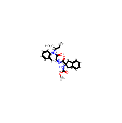 CC(C)C[C@@H](NC(=O)[C@@H](Cc1ccccc1)NC(=O)C1(NC(=O)OC(C)(C)C)Cc2ccccc2C1)C(=O)O